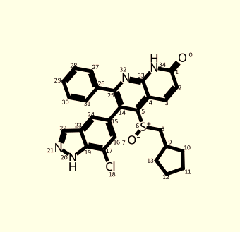 O=c1ccc2c([S+]([O-])CC3CCCC3)c(-c3cc(Cl)c4[nH]ncc4c3)c(-c3ccccc3)nc2[nH]1